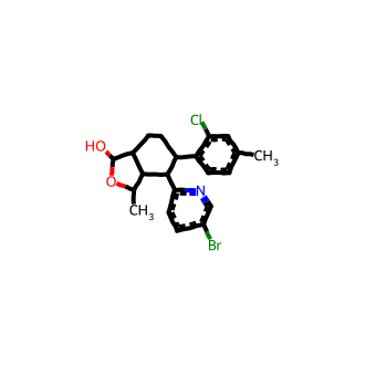 Cc1ccc(C2CCC3C(O)OC(C)C3C2c2ccc(Br)cn2)c(Cl)c1